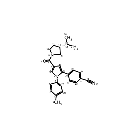 Cc1ccc(-n2nc(C(=O)N3CC[C@H](N(C)C)C3)cc2-c2ccc(C#N)cc2)cc1